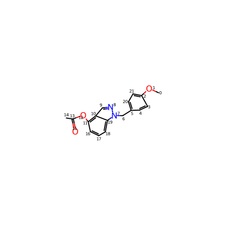 COc1ccc(Cn2ncc3c(OC(C)=O)cccc32)cc1